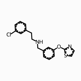 Clc1cccc(CCNCc2cccc(Oc3nccs3)c2)c1